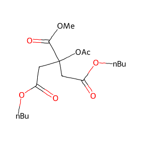 CCCCOC(=O)CC(CC(=O)OCCCC)(OC(C)=O)C(=O)OC